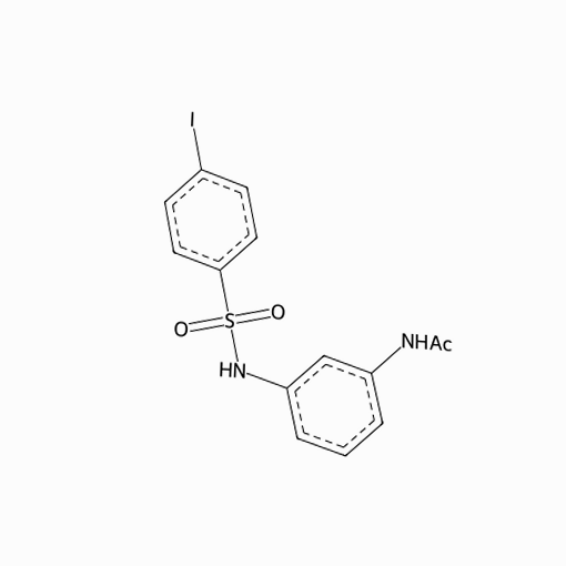 CC(=O)Nc1cccc(NS(=O)(=O)c2ccc(I)cc2)c1